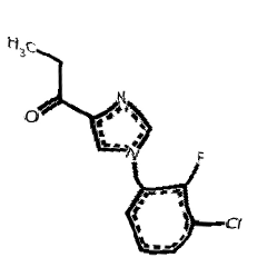 CCC(=O)c1cn(-c2cccc(Cl)c2F)cn1